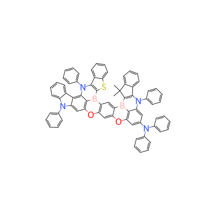 CC1(C)C2=C(c3ccccc31)N(c1ccccc1)c1cc(N(c3ccccc3)c3ccccc3)cc3c1B2c1cc2c(cc1O3)Oc1cc3c(c4c1B2c1sc2ccccc2c1N4c1ccccc1)c1ccccc1n3-c1ccccc1